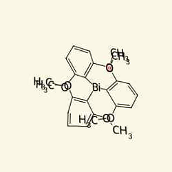 COc1cccc(OC)[c]1[Bi]([c]1c(OC)cccc1OC)[c]1c(OC)cccc1OC